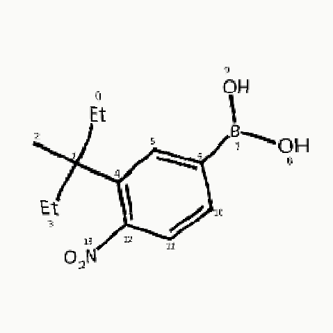 CCC(C)(CC)c1cc(B(O)O)ccc1[N+](=O)[O-]